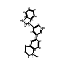 CN1CCCc2cc(-c3cncc(-n4nnc5ccccc54)c3)ccc21